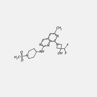 Cc1cc2cnc(NC3CCN(S(C)(=O)=O)CC3)nc2c(N2CC(O)(C(F)F)C2)n1